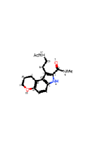 CNC(=O)c1[nH]c2ccc3c(c2c1CCNC(C)=O)CCCO3